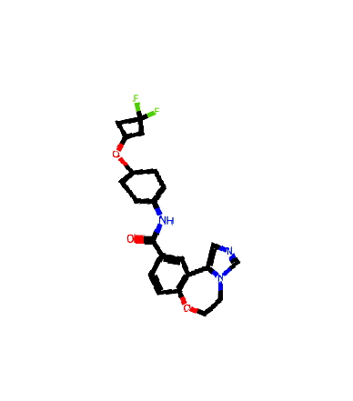 O=C(NC1CCC(OC2CC(F)(F)C2)CC1)c1ccc2c(c1)-c1cncn1CCO2